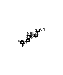 N#CC=CC(=O)N1CCC[C@@H](n2nc(-c3ccc(Oc4ccc(F)cc4F)cc3)c(C(N)=O)c2N)C1